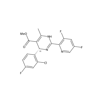 COC(=O)C1=C(C)NC(c2ncc(F)cc2F)=N[C@@H]1c1ccc(F)cc1Cl